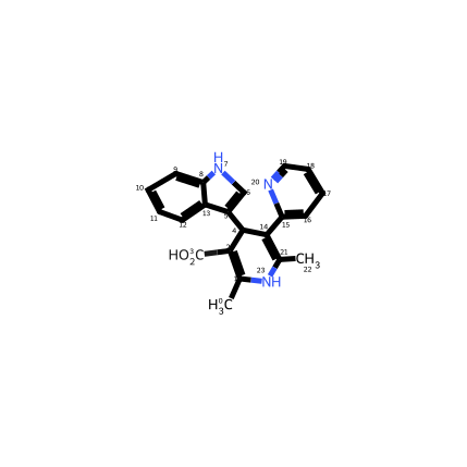 CC1=C(C(=O)O)C(c2c[nH]c3ccccc23)C(c2ccccn2)=C(C)N1